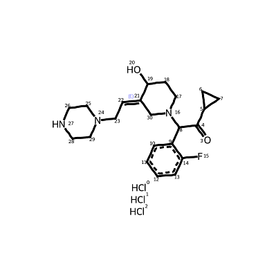 Cl.Cl.Cl.O=C(C1CC1)C(c1ccccc1F)N1CCC(O)/C(=C/CN2CCNCC2)C1